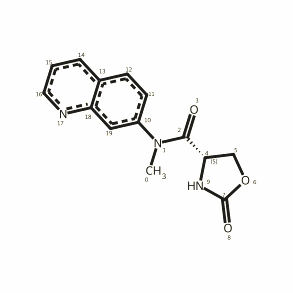 CN(C(=O)[C@@H]1COC(=O)N1)c1ccc2cccnc2c1